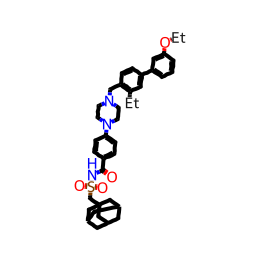 CCOc1cccc(-c2ccc(CN3CCN(c4ccc(C(=O)NS(=O)(=O)CC56CC7CC(CC(C7)C5)C6)cc4)CC3)c(CC)c2)c1